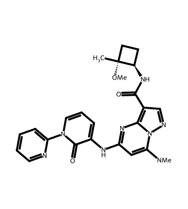 CNc1cc(Nc2cccn(-c3ccccn3)c2=O)nc2c(C(=O)N[C@@H]3CC[C@@]3(C)OC)cnn12